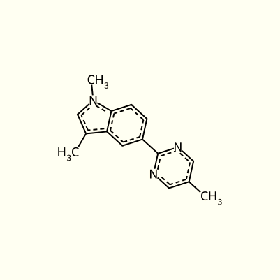 Cc1cnc(-c2ccc3c(c2)c(C)cn3C)nc1